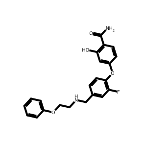 NC(=O)c1ccc(Oc2ccc(CNCCOc3ccccc3)cc2F)cc1O